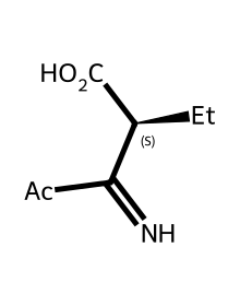 CC[C@@H](C(=N)C(C)=O)C(=O)O